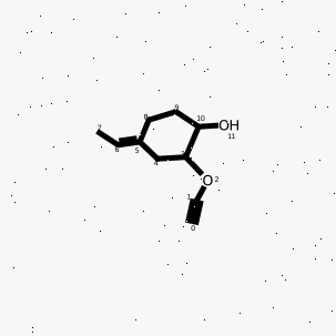 C#COC1CC(=CC)CCC1O